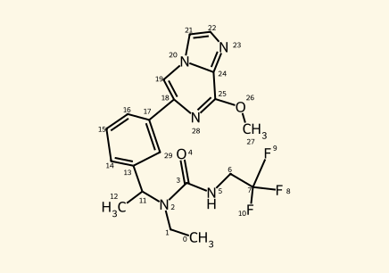 CCN(C(=O)NCC(F)(F)F)C(C)c1cccc(-c2cn3ccnc3c(OC)n2)c1